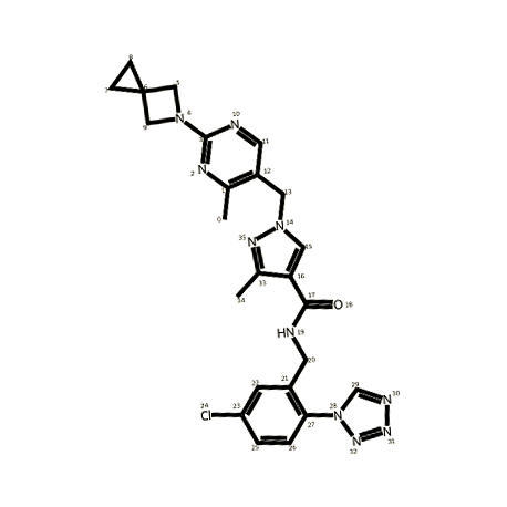 Cc1nc(N2CC3(CC3)C2)ncc1Cn1cc(C(=O)NCc2cc(Cl)ccc2-n2cnnn2)c(C)n1